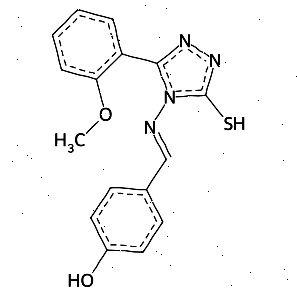 COc1ccccc1-c1nnc(S)n1N=Cc1ccc(O)cc1